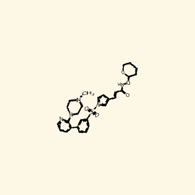 CN1CCN(c2ncccc2-c2cccc(S(=O)(=O)n3ccc(/C=C/C(=O)NOC4CCCCO4)c3)c2)CC1